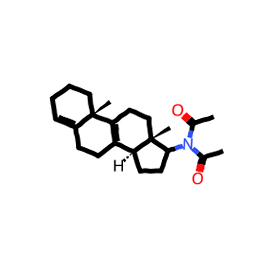 CC(=O)N(C(C)=O)C1CC[C@H]2C3=C(CC[C@]12C)[C@@]1(C)CCCC=C1CC3